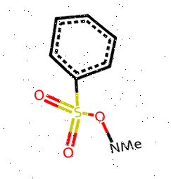 CNOS(=O)(=O)c1ccccc1